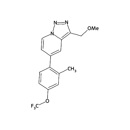 COCc1nnn2ccc(-c3ccc(OC(F)(F)F)cc3C)cc12